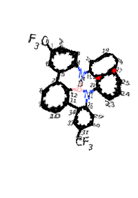 FC(F)(F)c1ccc2c(c1)-c1cccc3c1B(N2c1ccccc1)N(c1ccccc1)c1ccc(C(F)(F)F)cc1-3